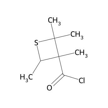 CC1SC(C)(C)C1(C)C(=O)Cl